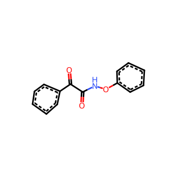 O=C(NOc1ccccc1)C(=O)c1ccccc1